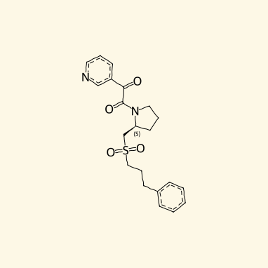 O=C(C(=O)N1CCC[C@H]1CS(=O)(=O)CCCc1ccccc1)c1cccnc1